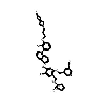 N#Cc1cncc(COc2cc(O[C@H]3CCc4c(-c5cccc(OCCCN6CC7(CC(F)C7)C6)c5Cl)cccc43)c(Cl)cc2CN[C@H]2CCC[C@H]2O)c1